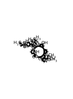 CCn1c(-c2cccnc2[C@H](C)OC)c2c3cc(ccc31)-c1cc(O)cc(c1)C[C@H](NC(=O)[C@H](C(C)C)N(C)C(=O)C1CCN(S(=O)(=O)[C@H]3CN3C)CC1)C(=O)N1CCC[C@H](N1)C(=O)OCC(C)(C)C2